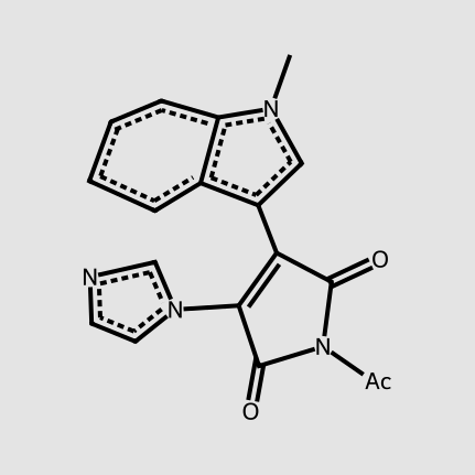 CC(=O)N1C(=O)C(c2cn(C)c3ccccc23)=C(n2ccnc2)C1=O